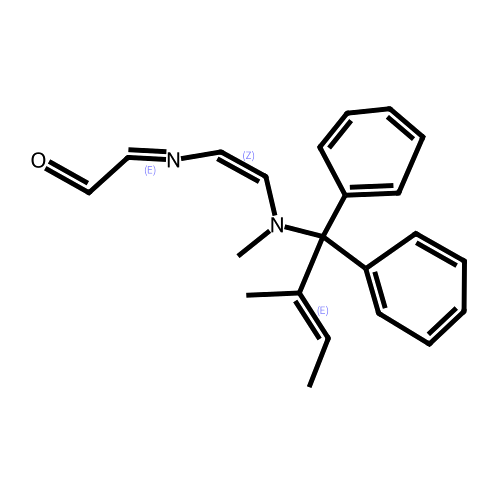 C/C=C(\C)C(c1ccccc1)(c1ccccc1)N(C)/C=C\N=C\C=O